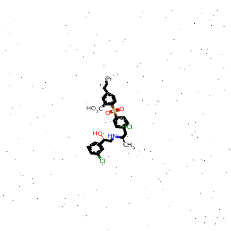 CC(C)CCc1ccc(S(=O)(=O)c2ccc(C[C@@H](C)NC[C@@H](O)c3cccc(Cl)c3)cc2)c(C(=O)O)c1.Cl